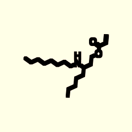 C=CC(=O)OCCC(CCCCC)NCCCCCCCC